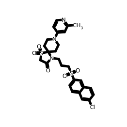 Cc1cc(N2CCC3(CC2)N(CCCS(=O)(=O)c2ccc4cc(Cl)ccc4c2)C(=O)CS3(=O)=O)ccn1